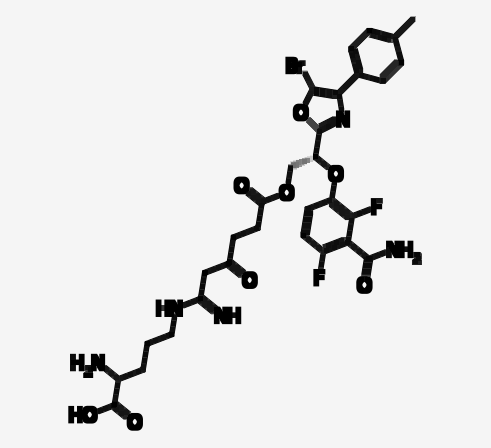 Cc1ccc(-c2nc([C@@H](COC(=O)CCC(=O)CC(=N)NCCCC(N)C(=O)O)Oc3ccc(F)c(C(N)=O)c3F)oc2Br)cc1